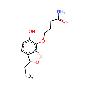 NC(=O)CCCOc1c(O)ccc2c1BOC2C[N+](=O)[O-]